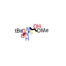 COCC(O)c1cnc(NC(=O)OC(C)(C)C)s1